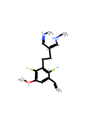 C=Cc1cc(OC)c(F)c(CCC(/C=N\C)=C/NC)c1F